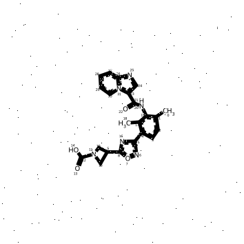 Cc1ccc(-c2noc(C3CN(C(=O)O)C3)n2)c(C)c1NC(=O)c1cnc2ccccn12